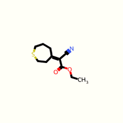 CCOC(=O)/C(C#N)=C1/CCCSCC1